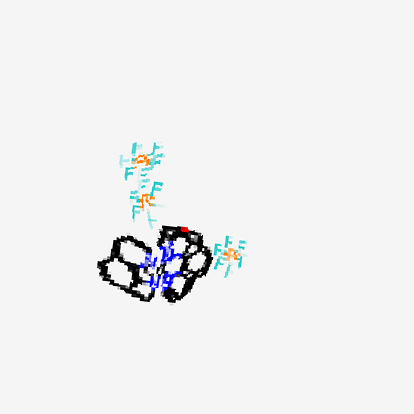 C1=C[N]2c3c4c(ccc3=C1)=CC=C[N]4[Co]213([N]2C=CC=c4ccc5c(c42)[N]1C=CC=5)[N]1C=CC=c2ccc4c(c21)[N]3C=CC=4.F[P-](F)(F)(F)(F)F.F[P-](F)(F)(F)(F)F.F[P-](F)(F)(F)(F)F